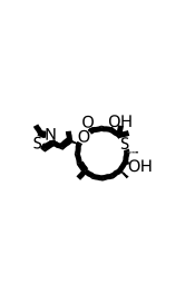 CC1=CC[C@@H](C(C)=Cc2csc(C)n2)OC(=O)C[C@H](O)C(C)(C)S[C@H](C)[C@@H](O)[C@@H](C)CCC1